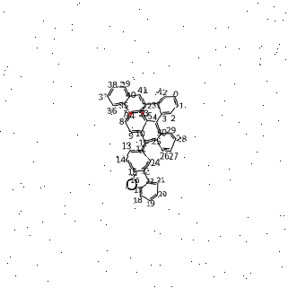 c1ccc(-c2c3ccccc3c(-c3ccc4oc5ccccc5c4c3)c3ccccc23)c(-c2ccc3ccccc3c2)c1